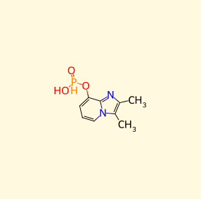 Cc1nc2c(O[PH](=O)O)cccn2c1C